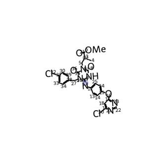 COC(=O)[C@@H](C)Cn1c(=O)[nH]/c(=N\c2ccc(Oc3cc(Cl)ncn3)cc2)n(Cc2ccc(Cl)cc2)c1=O